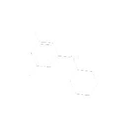 Clc1cc(Cl)cc(NC2CCCCC2)c1